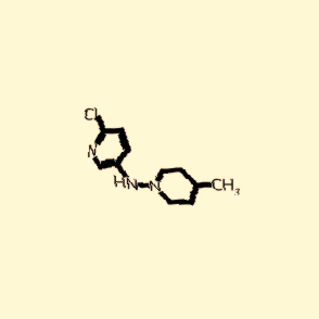 CC1CCN(Nc2ccc(Cl)nc2)CC1